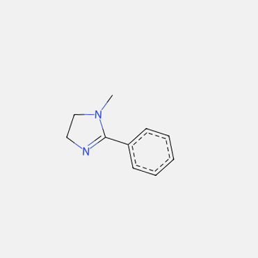 CN1CCN=C1c1ccccc1